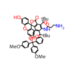 COc1ccc(C(OCCc2c(C(=O)C(C)(C)C)c(NC(=O)CCN)c(C(=O)C(C)(C)C)c3c2C2(OC3=O)c3ccc(O)cc3Oc3cc(O)ccc32)(c2ccccc2)c2ccc(OC)cc2)cc1